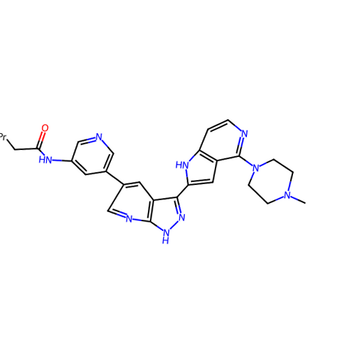 CC(C)CC(=O)Nc1cncc(-c2cnc3[nH]nc(-c4cc5c(N6CCN(C)CC6)nccc5[nH]4)c3c2)c1